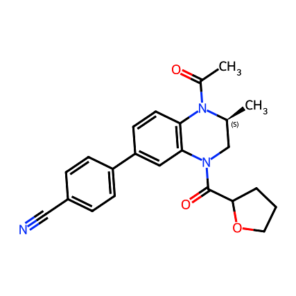 CC(=O)N1c2ccc(-c3ccc(C#N)cc3)cc2N(C(=O)C2CCCO2)C[C@@H]1C